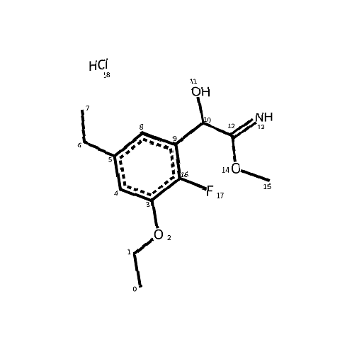 CCOc1cc(CC)cc(C(O)C(=N)OC)c1F.Cl